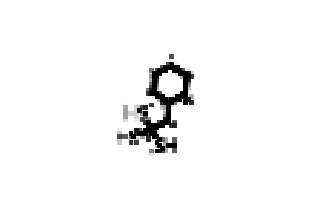 SC(S)(S)CC1CCCCC1